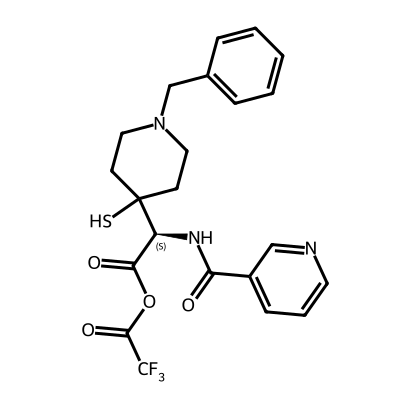 O=C(N[C@@H](C(=O)OC(=O)C(F)(F)F)C1(S)CCN(Cc2ccccc2)CC1)c1cccnc1